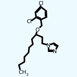 CCCCCCCCC(CCn1ccnc1)OCc1ccc(Cl)cc1Cl